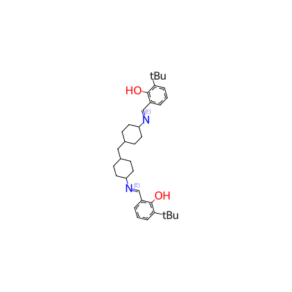 CC(C)(C)c1cccc(/C=N/C2CCC(CC3CCC(/N=C/c4cccc(C(C)(C)C)c4O)CC3)CC2)c1O